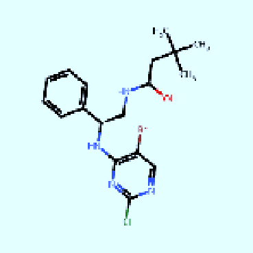 CC(C)(C)CC(O)NC[C@@H](Nc1nc(Cl)ncc1Br)c1ccccc1